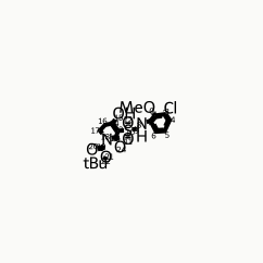 COc1c(Cl)cccc1NCS(=O)(=O)C1=C(O)CCN(C(=O)OC(C)(C)C)C1=O